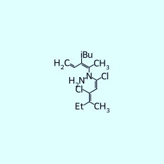 C=C/C(=C(/C)N(N)/C(Cl)=C\C(Cl)=C(/C)CC)C(C)CC